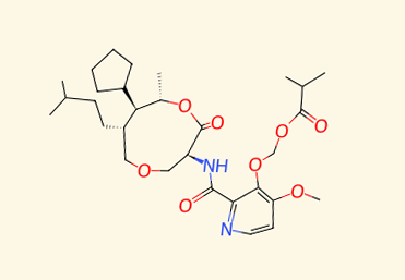 COc1ccnc(C(=O)N[C@H]2COC[C@H](CCC(C)C)[C@@H](C3CCCC3)[C@H](C)OC2=O)c1OCOC(=O)C(C)C